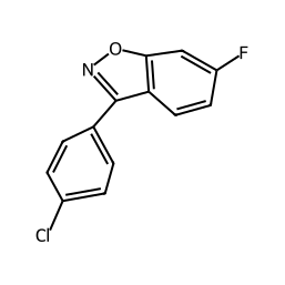 Fc1ccc2c(-c3ccc(Cl)cc3)noc2c1